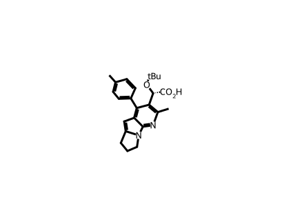 Cc1ccc(-c2c([C@H](OC(C)(C)C)C(=O)O)c(C)nc3c2cc2n3CCC2)cc1